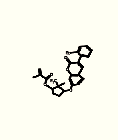 C=C(C)C(=O)OC1CCC(Oc2ccc3cc(-c4ccccc4CC)c(=O)oc3c2)C1(C)C(F)(F)F